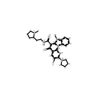 CN1CCCC1CCNC(=O)c1c(=O)c2cc(F)c(N3CCCC3)nc2n2c3ccccc3n(C)c12